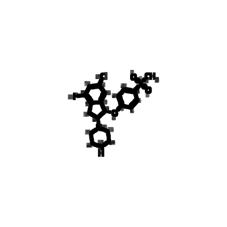 CS(=O)(=O)c1ccc(O[C@H]2c3cc(Cl)cc(F)c3C[C@@H]2N2CCNCC2)cc1